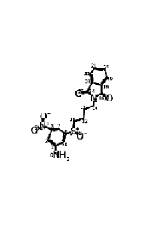 Nc1cc([N+](=O)[O-])cc([S+]([O-])CCCCN2C(=O)c3ccccc3C2=O)c1